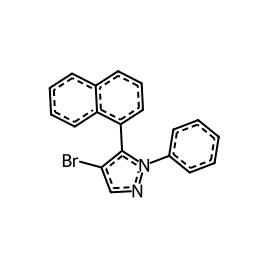 Brc1cnn(-c2ccccc2)c1-c1cccc2ccccc12